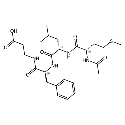 CSCC[C@H](NC(C)=O)C(=O)N[C@@H](CC(C)C)C(=O)N[C@@H](Cc1ccccc1)C(=O)NCCC(=O)O